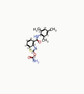 Cc1cc(C)c(NC(=O)c2cccc3sc(OC(N)=O)nc23)c(C)c1